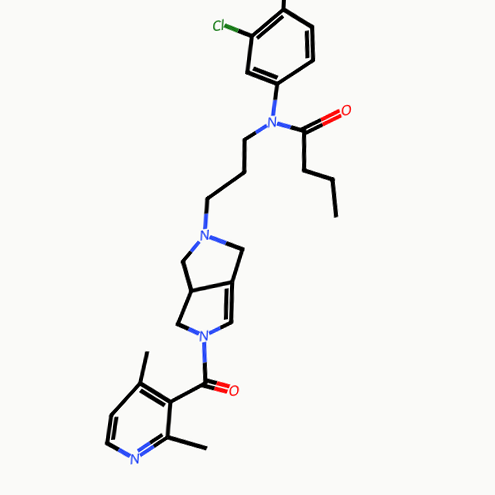 CCCC(=O)N(CCCN1CC2=CN(C(=O)c3c(C)ccnc3C)CC2C1)c1ccc(C)c(Cl)c1